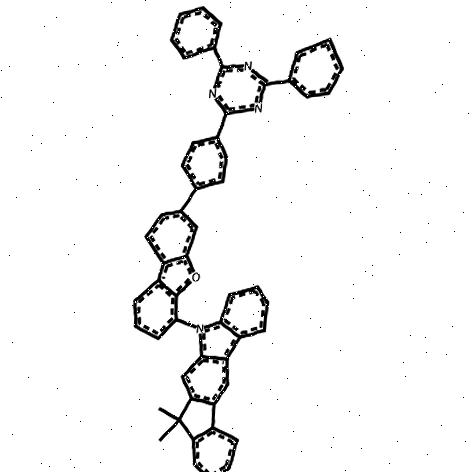 CC1(C)c2ccccc2-c2cc3c4ccccc4n(-c4cccc5c4oc4cc(-c6ccc(-c7nc(-c8ccccc8)nc(-c8ccccc8)n7)cc6)ccc45)c3cc21